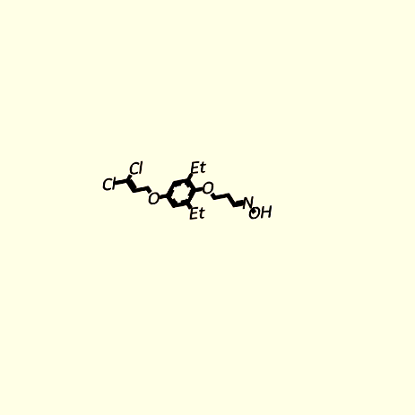 CCc1cc(OCC=C(Cl)Cl)cc(CC)c1OCCC=NO